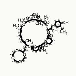 CO[C@@H]1C[C@H](C[C@@H](C)[C@@H]2CC(=O)[C@H](C)/C=C(\C)[C@@H](O)[C@@H](OC)C(=O)[C@H](C)C[C@H](C)/C=C/C=C/C=C(\C)[C@@H](OCC3COCCOCCOCCO3)C[C@@H]3CC[C@@H](C)[C@@](O)(O3)C(=O)C(=O)N3CCCC[C@H]3C(=O)O2)CC[C@H]1O